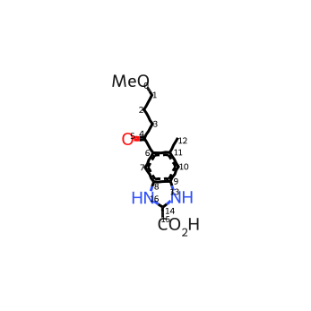 COCCCC(=O)c1cc2c(cc1C)NC(C(=O)O)N2